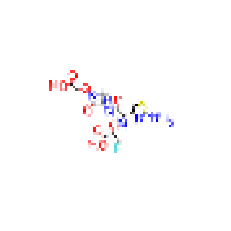 CC1(C)[C@H](NC(=O)/C(=N\OC(CF)C(=O)O)c2csc(N)n2)C(=O)N1OCC(=O)O